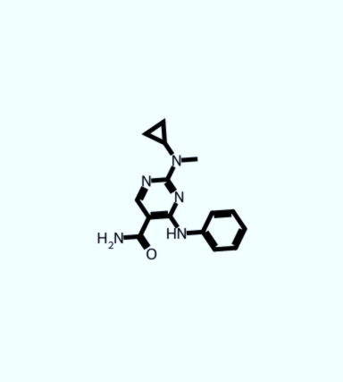 CN(c1ncc(C(N)=O)c(Nc2ccccc2)n1)C1CC1